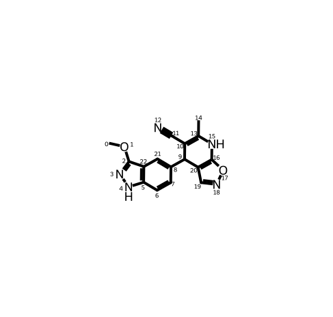 COc1n[nH]c2ccc(C3C(C#N)=C(C)Nc4oncc43)cc12